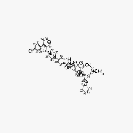 CN1CCOC(=O)c2cc(S(=O)(=O)NC(=O)c3ccc(N4CCN(CC5=C(c6ccc(Cl)cc6)CCOC5)CC4)cc3)cc([N+](=O)[O-])c2N[C@@H](CSc2ccccc2)CC1